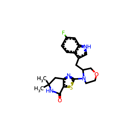 CC1(C)Cc2nc(N3CCOCC3Cc3c[nH]c4cc(F)ccc34)sc2C(=O)N1